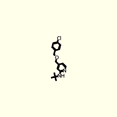 CC(C)(C)Nc1cc(COCc2ccc(Cl)cc2)ccn1